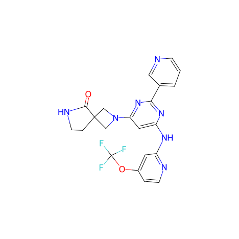 O=C1NCCC12CN(c1cc(Nc3cc(OC(F)(F)F)ccn3)nc(-c3cccnc3)n1)C2